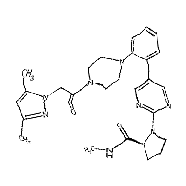 CNC(=O)[C@@H]1CCCN1c1ncc(-c2ccccc2N2CCN(C(=O)Cn3nc(C)cc3C)CC2)cn1